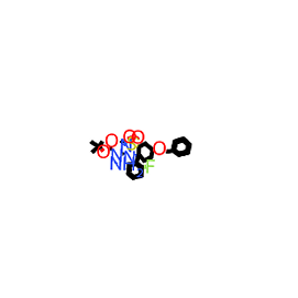 CN1C(N(N)C(=O)OC(C)(C)C)=NC2(c3ccccc3F)CCC(OCc3ccccc3)CC2S1(=O)=O